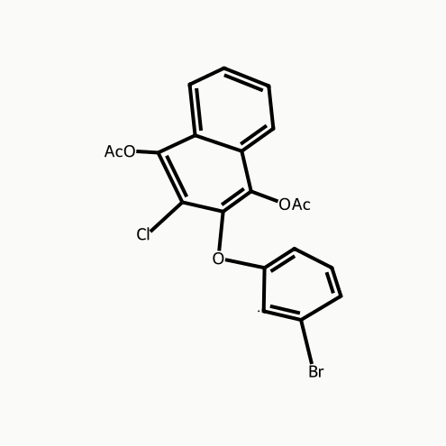 CC(=O)Oc1c(Cl)c(Oc2[c]c(Br)ccc2)c(OC(C)=O)c2ccccc12